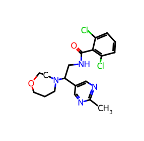 Cc1ncc(C(CNC(=O)c2c(Cl)cccc2Cl)N2CCCOCC2)cn1